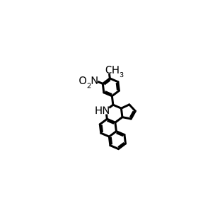 Cc1ccc(C2Nc3ccc4ccccc4c3C3C=CCC32)cc1[N+](=O)[O-]